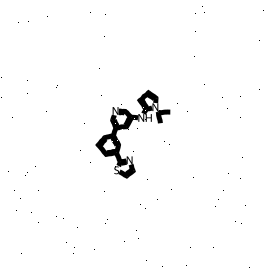 CC(C)n1cccc1Nc1cncc(-c2cccc(-c3nccs3)c2)c1